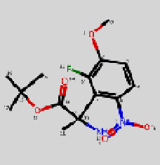 COc1ccc([N+](=O)[O-])c([C@](C)(N)C(=O)OC(C)(C)C)c1F